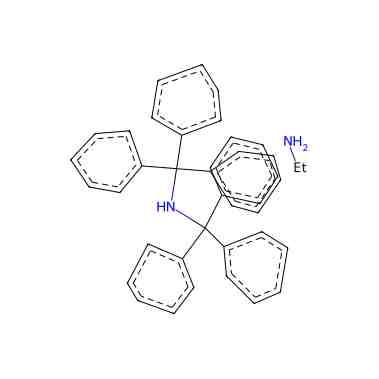 CCN.c1ccc(C(NC(c2ccccc2)(c2ccccc2)c2ccccc2)(c2ccccc2)c2ccccc2)cc1